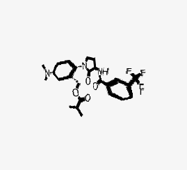 CC(C)C(=O)OC[C@@H]1C[C@H](N(C)C)CC[C@@H]1N1CCC(NC(=O)c2cccc(C(F)(F)F)c2)C1=O